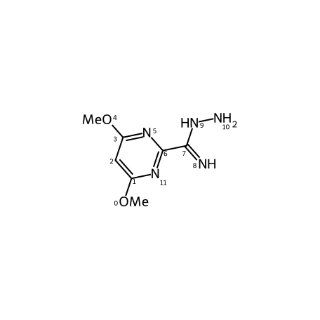 COc1cc(OC)nc(C(=N)NN)n1